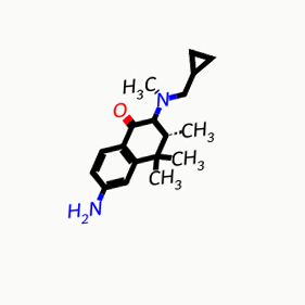 C[C@H]1C(N(C)CC2CC2)C(=O)c2ccc(N)cc2C1(C)C